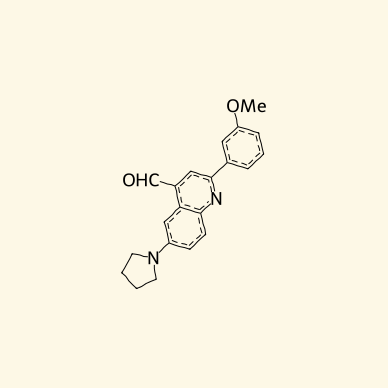 COc1cccc(-c2cc(C=O)c3cc(N4CCCC4)ccc3n2)c1